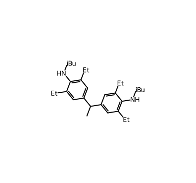 CCc1cc(C(C)c2cc(CC)c(NC(C)CC)c(CC)c2)cc(CC)c1NC(C)CC